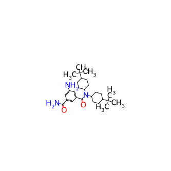 CC(C)(C)C1CCC(N(C(=O)c2cc(N)cc(C(N)=O)c2)C2CCC(C(C)(C)C)CC2)CC1